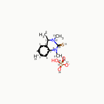 CC1c2ccccc2N(C)C(=S)N1C.O=S(=O)([O-])O.[H+]